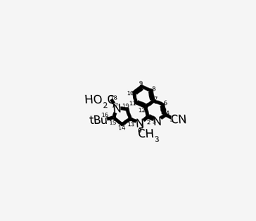 CN(c1nc(C#N)cc2ccccc12)C1CC(C(C)(C)C)N(C(=O)O)C1